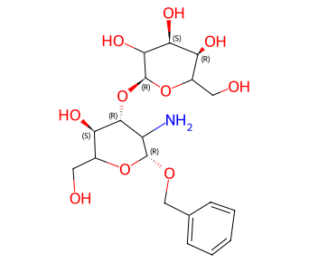 NC1[C@H](OCc2ccccc2)OC(CO)[C@@H](O)[C@@H]1O[C@@H]1OC(CO)[C@H](O)[C@H](O)C1O